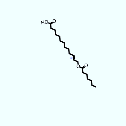 CCCCCCC(=O)OC/C=C/CCCCCCCCCC(=O)O